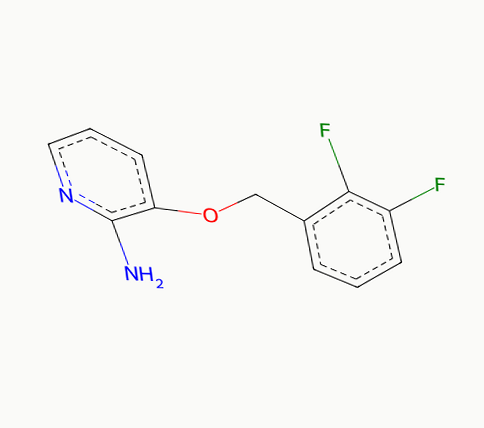 Nc1ncccc1OCc1cccc(F)c1F